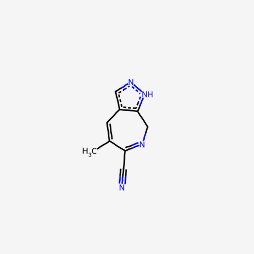 CC1=Cc2cn[nH]c2CN=C1C#N